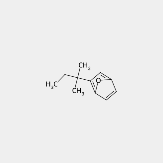 CCC(C)(C)c1cc2ccc1o2